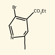 CCOC(=O)c1cc(C)ncc1Br